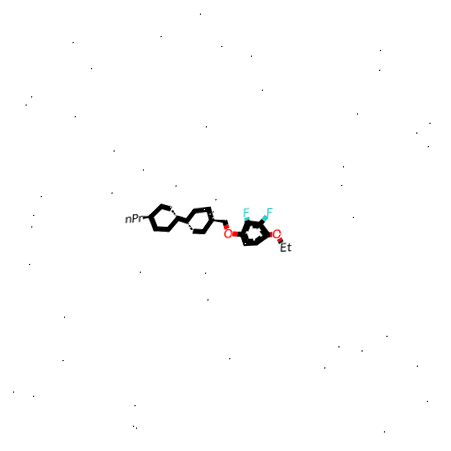 CCC[C@H]1CC[C@H]([C@H]2CC[C@H](COc3ccc(OCC)c(F)c3F)CC2)CC1